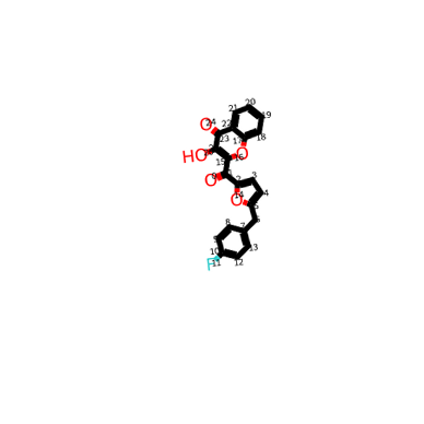 O=C(c1ccc(Cc2ccc(F)cc2)o1)c1oc2ccccc2c(=O)c1O